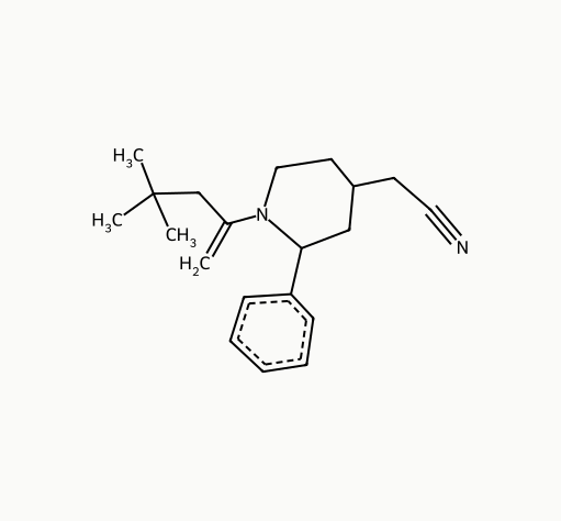 C=C(CC(C)(C)C)N1CCC(CC#N)CC1c1ccccc1